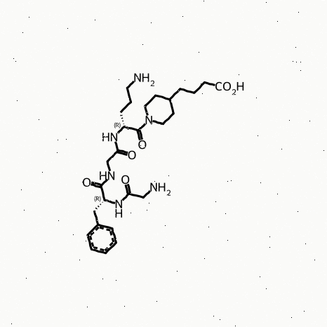 NCCC[C@@H](NC(=O)CNC(=O)[C@@H](Cc1ccccc1)NC(=O)CN)C(=O)N1CCC(CCCC(=O)O)CC1